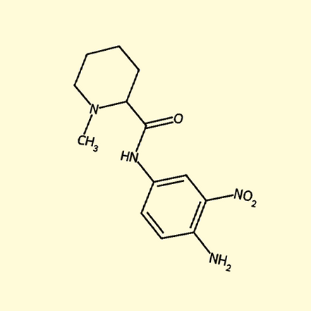 CN1CCCCC1C(=O)Nc1ccc(N)c([N+](=O)[O-])c1